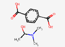 CC(O)N(C)C.O=C(O)c1ccc(C(=O)O)cc1